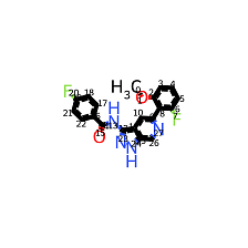 COc1cccc(F)c1-c1cc2c(NC(=O)c3ccc(F)cc3)n[nH]c2cn1